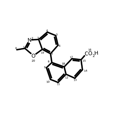 Cc1nc2cccc(-c3cccc4ccc(C(=O)O)cc34)c2o1